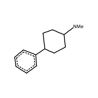 CNC1CCC(c2ccccc2)CC1